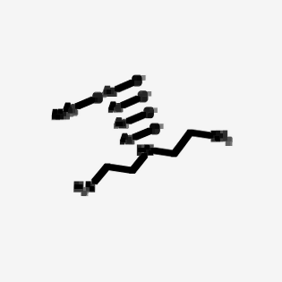 CC(=O)[O-].CC(=O)[O-].CC(=O)[O-].CC(=O)[O-].CC(=O)[O-].NCCNCCN.[Mn+5]